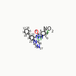 Cc1c(F)c([N+](=O)[O-])cc(C(=O)Nc2cc(-c3ccccc3)ccc2N2CCN(C)CC2)c1Cl